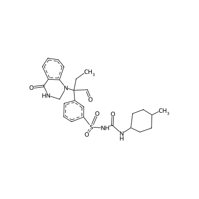 CCC(C=O)(c1cccc(S(=O)(=O)NC(=O)NC2CCC(C)CC2)c1)N1CNC(=O)c2ccccc21